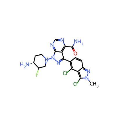 Cn1nc2ccc(-c3nn(N4CC[C@@H](N)[C@H](F)C4)c4ncnc(C(N)=O)c34)c(Cl)c2c1Cl